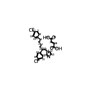 Clc1ccc(CSCSC(Cn2ccnc2)c2ccc(Cl)cc2)cc1.O=C(O)C=CC(=O)O